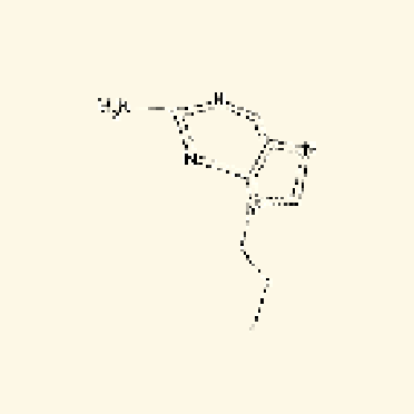 CCCn1cnc2cnc(N)nc21